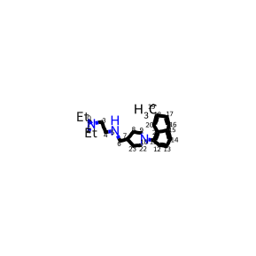 CCN(CC)CCNCC1CCN(c2cccc3ccc(C)cc23)CC1